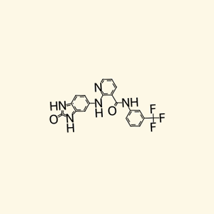 O=C(Nc1cccc(C(F)(F)F)c1)c1cccnc1Nc1ccc2[nH]c(=O)[nH]c2c1